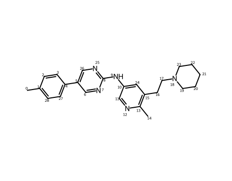 Cc1ccc(-c2cnc(Nc3cnc(C)c(CCN4CCCCC4)c3)nc2)cc1